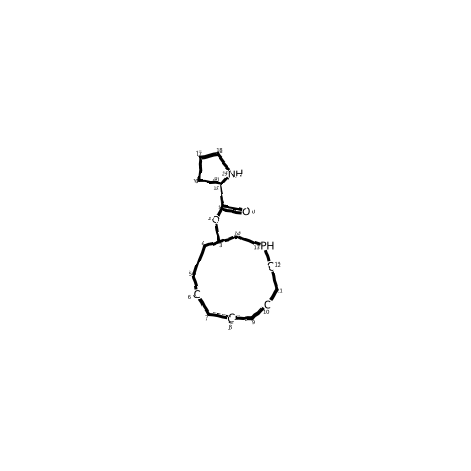 O=C(OC1CCCCCCCCCPC1)[C@H]1CCCN1